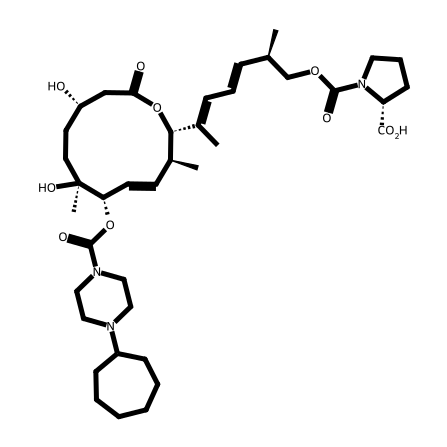 C/C(=C\C=C\[C@@H](C)COC(=O)N1CCC[C@@H]1C(=O)O)[C@H]1OC(=O)C[C@@H](O)CC[C@](C)(O)[C@@H](OC(=O)N2CCN(C3CCCCCC3)CC2)/C=C/[C@@H]1C